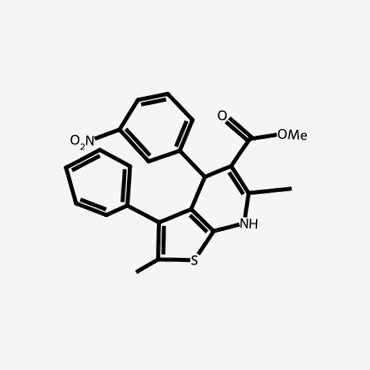 COC(=O)C1=C(C)Nc2sc(C)c(-c3ccccc3)c2C1c1cccc([N+](=O)[O-])c1